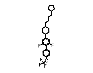 Fc1cc(C2CCC(CCCCC3CCCC3)CC2)cc(F)c1-c1ccc(OC(F)(F)F)cc1